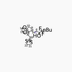 CCCCC(F)(F)C(O)/C=C/C1CCC2(OCCO2)C1CCC1SCCS1